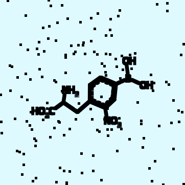 NC(Cc1ccc(B(O)O)cc1[N+](=O)[O-])C(=O)O